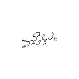 CCN(CC)CCNC(=O)N1CCc2cc(OC)c(OC)cc2C1c1ccccc1